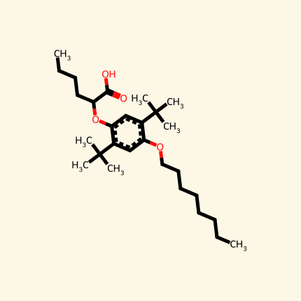 CCCCCCCCOc1cc(C(C)(C)C)c(OC(CCCC)C(=O)O)cc1C(C)(C)C